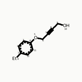 CCc1ccc(OCC#CCO)cc1